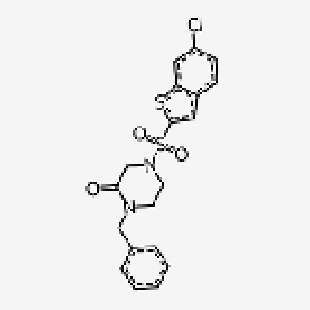 O=C1CN(S(=O)(=O)c2cc3ccc(Cl)cc3s2)CCN1Cc1ccccc1